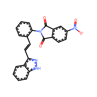 O=C1c2ccc([N+](=O)[O-])cc2C(=O)N1c1ccccc1/C=C/c1n[nH]c2ccccc12